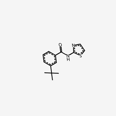 CC(C)(C)c1cccc(C(=O)Nc2nccs2)c1